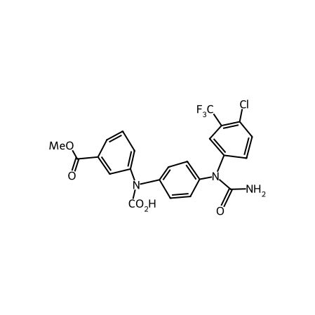 COC(=O)c1cccc(N(C(=O)O)c2ccc(N(C(N)=O)c3ccc(Cl)c(C(F)(F)F)c3)cc2)c1